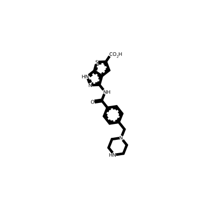 O=C(Nc1n[nH]c2sc(C(=O)O)cc12)c1ccc(CN2CCNCC2)cc1